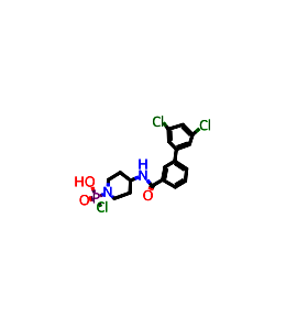 O=C(NC1CCN(P(=O)(O)Cl)CC1)c1cccc(-c2cc(Cl)cc(Cl)c2)c1